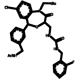 CC(=O)NCc1cccc(C2OC(CNC(=O)NCc3ccccc3F)C(=O)N(CC(C)(C)C)c3ccc(Cl)cc32)c1